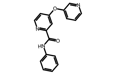 O=C(Nc1ccccc1)c1cc(Oc2cccnc2)ccn1